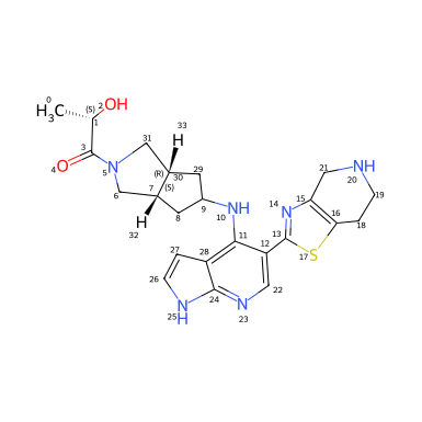 C[C@H](O)C(=O)N1C[C@H]2CC(Nc3c(-c4nc5c(s4)CCNC5)cnc4[nH]ccc34)C[C@H]2C1